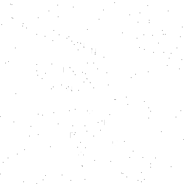 CCCn1cc(Nc2ncc(OCc3c(F)c(OC)cc(OC)c3F)cn2)cn1